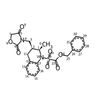 C[C@@H]1[C@H](CN2C(=O)COC2=O)Cc2ccccc2N1S(=O)(=O)C(=O)OCc1ccccc1